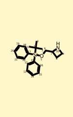 CC(C)(C)[Si](OCC1CCN1)(c1ccccc1)c1ccccc1